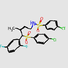 CC(CCNS(=O)(=O)c1ccc(Cl)cc1)C(c1cc(F)ccc1F)S(=O)(=O)c1ccc(Cl)cc1